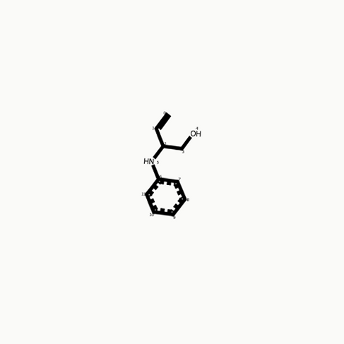 C=CC(CO)Nc1ccccc1